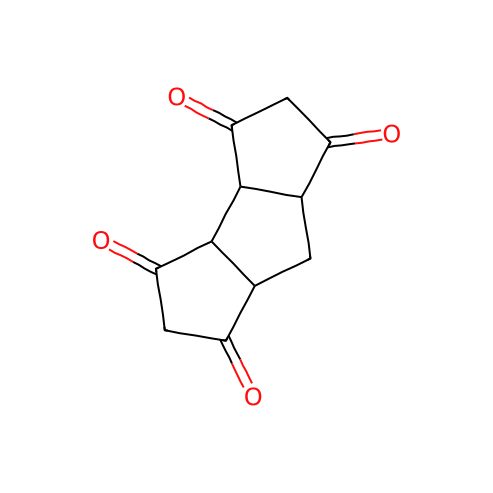 O=C1CC(=O)C2C1CC1C(=O)CC(=O)C12